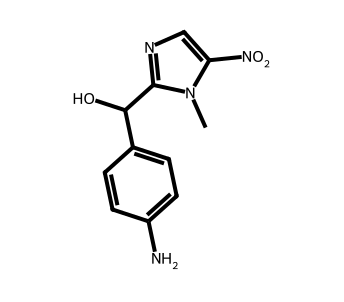 Cn1c([N+](=O)[O-])cnc1C(O)c1ccc(N)cc1